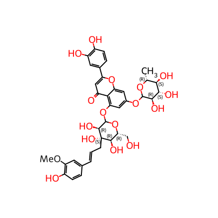 COc1cc(C=CC[C@]2(O)[C@H](O)[C@@H](CO)OC(Oc3cc(OC4O[C@H](C)[C@@H](O)[C@H](O)[C@H]4O)cc4oc(-c5ccc(O)c(O)c5)cc(=O)c34)[C@@H]2O)ccc1O